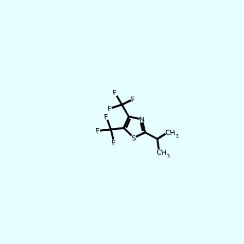 CC(C)c1nc(C(F)(F)F)c(C(F)(F)F)s1